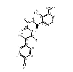 COc1ccnc(C(=O)NC(C)C(=O)OC(C)C(c2ccc(Cl)nc2)C(C)C)c1O